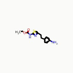 CCOC(=O)Nc1nc(CCc2ccc(N)cc2)cs1